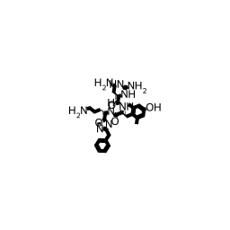 Cc1cc(O)cc(C)c1C[C@H](NC(=O)[C@@H](CCN)NC(=N)N)C(=O)N[C@@H](CCCN)c1nc(Cc2ccccc2)no1